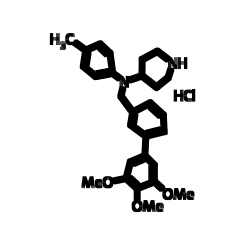 COc1cc(-c2cccc(CN(c3ccc(C)cc3)C3CCNCC3)c2)cc(OC)c1OC.Cl